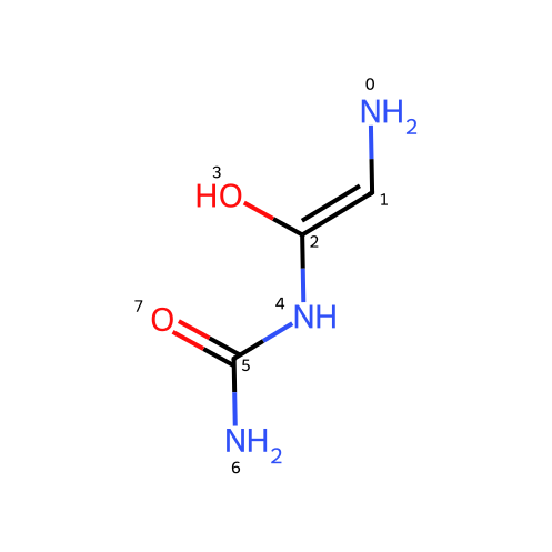 N/C=C(\O)NC(N)=O